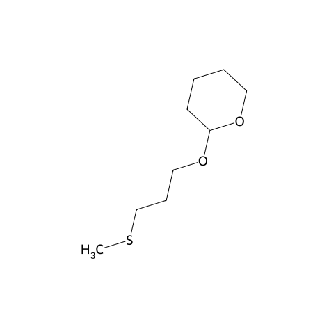 CSCCCOC1CCCCO1